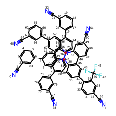 N#Cc1cccc(-c2ccc3c(c2)c2cc(-c4cccc(C#N)c4)ccc2n3-c2ccc(-c3ccc(C#N)cc3C(F)(F)F)cc2-c2ccc(C#N)cc2-n2c3ccc(-c4cccc(C#N)c4)cc3c3cc(-c4cccc(C#N)c4)ccc32)c1